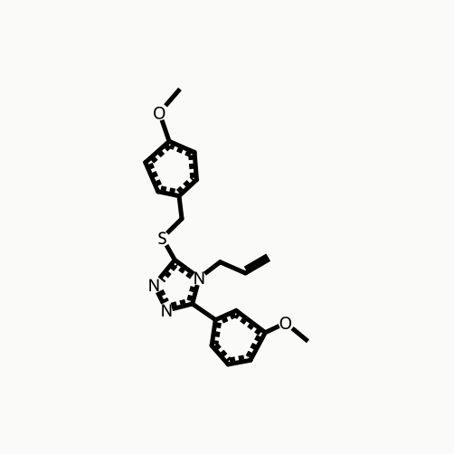 C=CCn1c(SCc2ccc(OC)cc2)nnc1-c1cccc(OC)c1